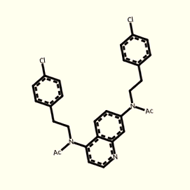 CC(=O)N(CCc1ccc(Cl)cc1)c1ccc2c(N(CCc3ccc(Cl)cc3)C(C)=O)ccnc2c1